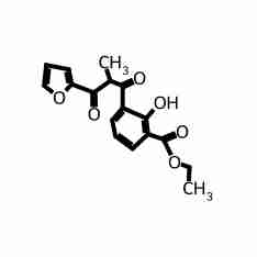 CCOC(=O)c1cccc(C(=O)C(C)C(=O)c2ccco2)c1O